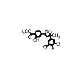 COC(=O)c1ccc(C2=NOC(C)(c3cc(Cl)c(F)c(Cl)c3)C2)cc1C